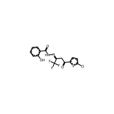 O=C(CC(=NNC(=O)c1ccccc1O)C(F)(F)F)c1ccc(Cl)s1